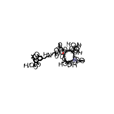 CC[C@H]1OC(=O)[C@H](C)[C@@H](O[C@H]2C[C@@](C)(OC)[C@@H](OC(=O)CCNCCCc3cc4c5c(c3)c(=O)c(C(=O)O)cn5C(C)(C)CO4)[C@H](C)O2)[C@H](C)[C@@H](O[C@@H]2O[C@H](C)C[C@H](N(C)C)[C@H]2O)[C@](C)(O)C[C@@H](C)/C(=N\OCOC)[C@H](C)[C@@H](O)[C@]1(C)O